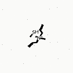 C=CC[N+](C)(C)CC=C.CS